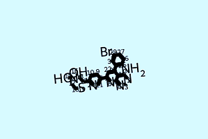 Nc1ncnc2nc(-c3ccc(C4C[N+](O)(O)CCS4)nc3)cc(-c3cccc(Br)c3)c12